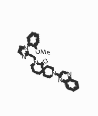 COc1ccccc1-n1ccnc1CN1CCCC2(CCN(c3cnc4ccccc4n3)CC2)C1=O